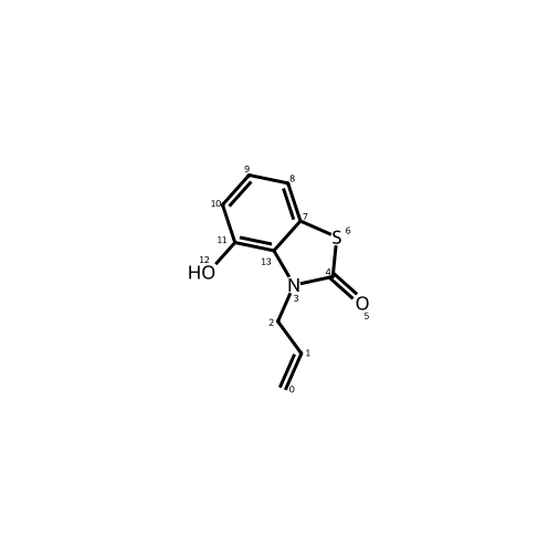 C=CCn1c(=O)sc2cccc(O)c21